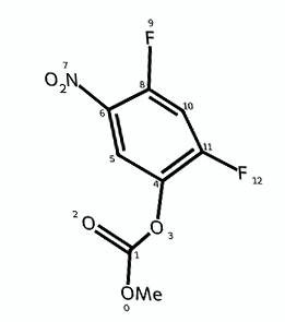 COC(=O)Oc1cc([N+](=O)[O-])c(F)cc1F